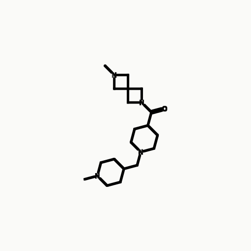 CN1CCC(CN2CCC(C(=O)N3CC4(CN(C)C4)C3)CC2)CC1